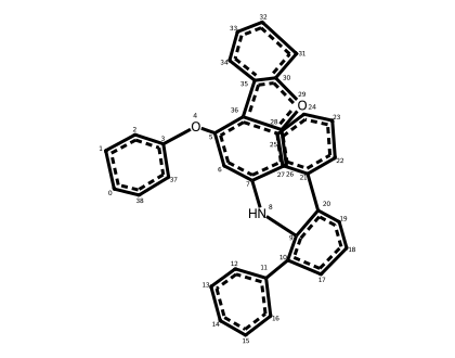 c1ccc(Oc2cc(Nc3c(-c4ccccc4)cccc3-c3ccccc3)cc3oc4ccccc4c23)cc1